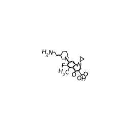 Cc1c(F)c(N2CCCC(=CCN)C2)cc2c1c(=O)c(C(=O)O)cn2C1CC1